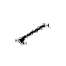 COCCOCCOCCOCCOCCOCCOCCOCCC(=O)N1CCC(CC(=O)O)(CC(=O)O)CC1